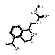 CC(O)c1cccc2c1CCOC2CNC(=O)OC(C)(C)C